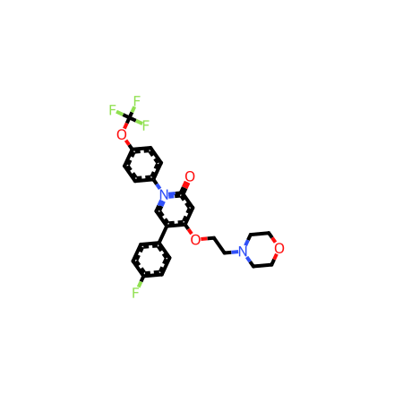 O=c1cc(OCCN2CCOCC2)c(-c2ccc(F)cc2)cn1-c1ccc(OC(F)(F)F)cc1